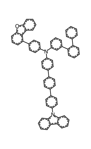 c1ccc(-c2ccccc2-c2cccc(N(c3ccc(-c4ccc(-c5ccc(-n6c7ccccc7c7ccccc76)cc5)cc4)cc3)c3ccc(-c4cccc5oc6ccccc6c45)cc3)c2)cc1